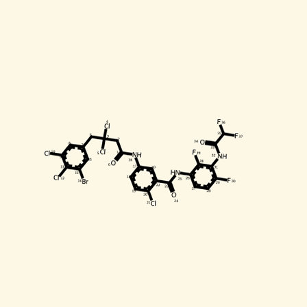 O=C(CC(Cl)(Cl)Cc1cc(Cl)c(Cl)c(Br)c1)Nc1ccc(Cl)c(C(=O)Nc2ccc(F)c(NC(=O)C(F)F)c2F)c1